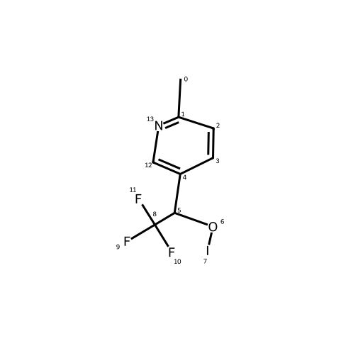 Cc1ccc(C(OI)C(F)(F)F)cn1